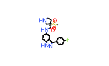 CS(=O)(=O)[C@@]1(C(=O)Nc2ccc3[nH]nc(-c4ccc(F)cc4)c3c2)CCNC1